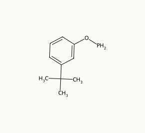 CC(C)(C)c1cccc(OP)c1